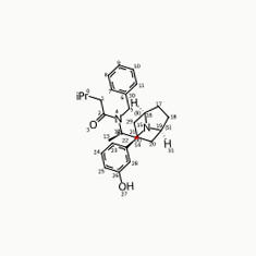 CC(C)CC(=O)N(Cc1ccccc1)[C@H](C)CN1[C@@H]2CC[C@H]1C[C@@H](c1cccc(O)c1)C2